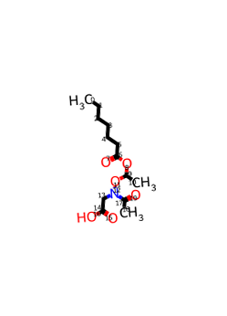 CCCCCCC(=O)OC(C)ON(CC(=O)O)C(C)=O